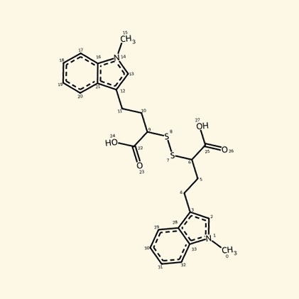 Cn1cc(CCC(SSC(CCc2cn(C)c3ccccc23)C(=O)O)C(=O)O)c2ccccc21